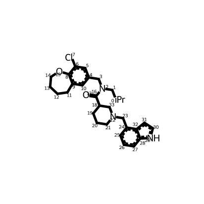 CC(C)CN(Cc1cc(Cl)c2c(c1)CCCCO2)C(=O)C1CCCN(Cc2cccc3[nH]ccc23)C1